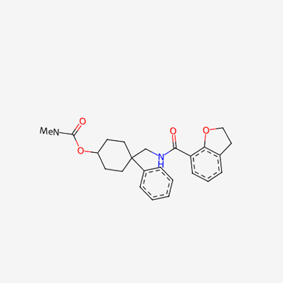 CNC(=O)OC1CCC(CNC(=O)c2cccc3c2OCC3)(c2ccccc2)CC1